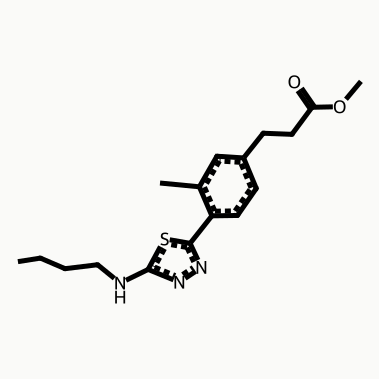 CCCCNc1nnc(-c2ccc(CCC(=O)OC)cc2C)s1